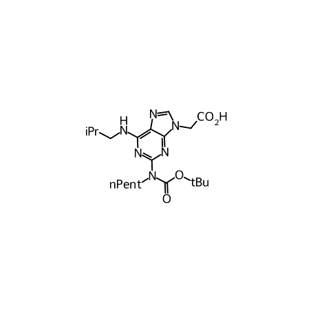 CCCCCN(C(=O)OC(C)(C)C)c1nc(NCC(C)C)c2ncn(CC(=O)O)c2n1